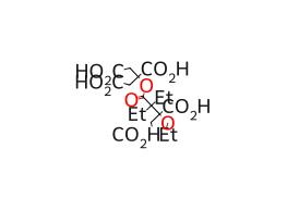 CCOC(CC(=O)O)(C(=O)O)C(CC)(CC)C(=O)OC(CC(=O)O)(CC(=O)O)C(=O)O